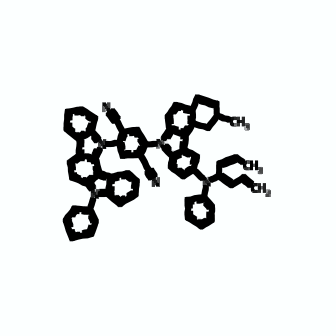 C=C/C=C(\C=C/C)N(c1ccccc1)c1ccc2c(c1)c1c3c(ccc1n2-c1cc(C#N)c(-n2c4ccccc4c4ccc5c(c6ccccc6n5-c5ccccc5)c42)cc1C#N)C=CC(C)C3